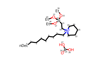 CCCCCCCCCCCCCCCCCC[N+]1(CC[Si](OCC)(OCC)OCC)CCCCC1.[O-]B(O)O